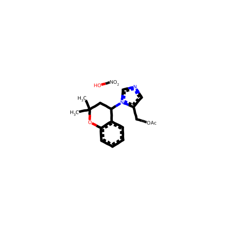 CC(=O)OCc1cncn1C1CC(C)(C)Oc2ccccc21.O=[N+]([O-])O